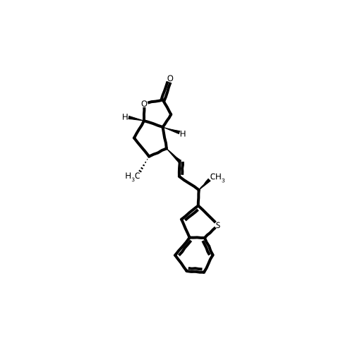 C[C@H](/C=C/[C@@H]1[C@H]2CC(=O)O[C@H]2C[C@H]1C)c1cc2ccccc2s1